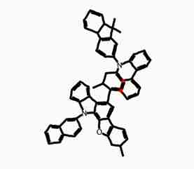 CC1C=Cc2c(oc3c2cc(C2=CC=C(N(c4ccc5c(c4)C(C)(C)C4C=CC=CC54)c4ccccc4-c4ccccc4)CC2C)c2c4ccccc4n(-c4ccc5ccccc5c4)c32)C1